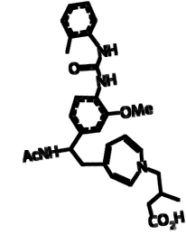 COc1cc(C(CC2=CC=CN(CC(C)CC(=O)O)C=C2)NC(C)=O)ccc1NC(=O)Nc1ccccc1C